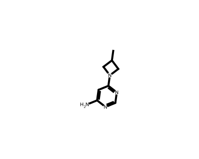 CC1CN(c2cc(N)ncn2)C1